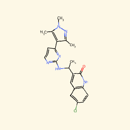 Cc1nn(C)c(C)c1-c1ccnc(NC(C)c2cc3cc(Cl)ccc3[nH]c2=O)n1